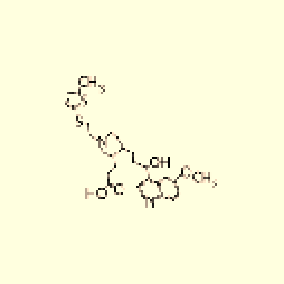 COc1ccc2nccc([C@@H](O)CCC3CCN(CCSc4ccc(C)s4)CC3CCC(=O)O)c2c1